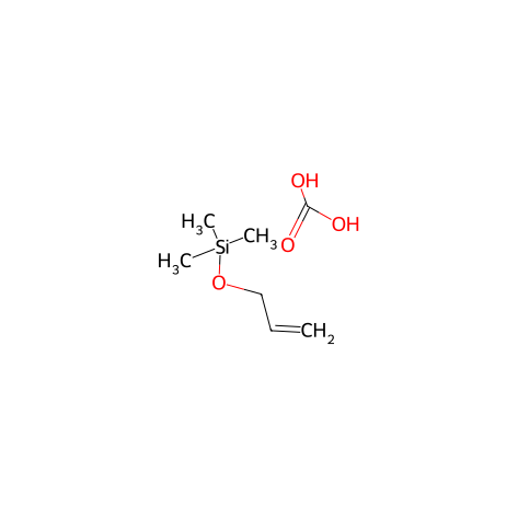 C=CCO[Si](C)(C)C.O=C(O)O